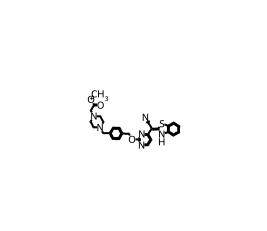 COC(=O)CN1CCN(Cc2ccc(COc3nccc(/C(C#N)=C4\Nc5ccccc5S4)n3)cc2)CC1